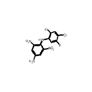 O=[N+]([O-])c1cc([N+](=O)[O-])c(Nc2cc(F)c(Cl)cc2Cl)c([N+](=O)[O-])c1